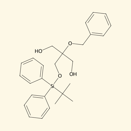 CC(C)(C)[Si](OCC(CO)(CO)OCc1ccccc1)(c1ccccc1)c1ccccc1